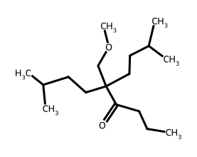 CCCC(=O)C(CCC(C)C)(CCC(C)C)COC